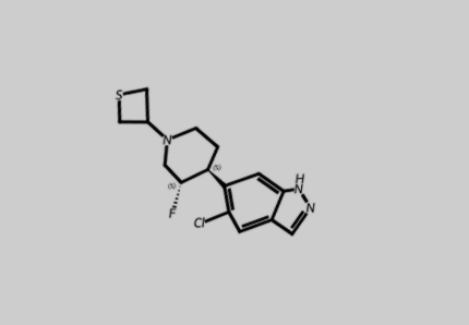 F[C@@H]1CN(C2CSC2)CC[C@H]1c1cc2[nH]ncc2cc1Cl